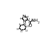 NC(=O)c1cncn1-c1ccccc1